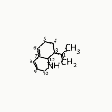 C=C(C)C1CCC=C2C=CCNC21